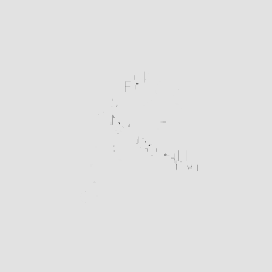 CC[C@H]1CN1[C@H](c1ccc(Cl)cc1)[C@H](O[SiH2]C(C)(C)C)c1cccc(Cl)c1